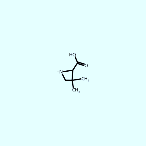 CC1(C)CNC1C(=O)O